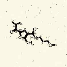 COCCCNC(=O)c1cc(C(=O)C(C)C)sc1N